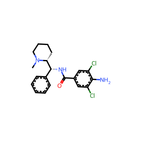 CN1CCCC[C@@H]1[C@H](NC(=O)c1cc(Cl)c(N)c(Cl)c1)c1ccccc1